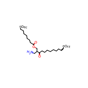 CCCCCCCC/C=C\CCCCCCCC(=O)C(CN)COC(=O)CCCCCCCCCCCCCCCCC